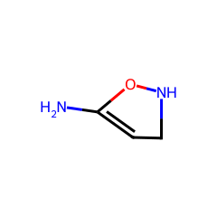 NC1=CCNO1